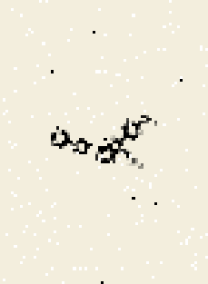 CCn1c(-c2cnc(C)nc2)nc2c(OC3CCN(c4cncnc4)C3)ncnc21